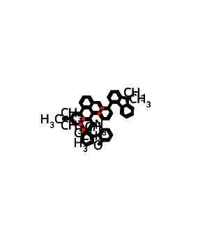 CC(C)(C)c1cc(-c2cccc3cccc(-c4ccccc4N(c4ccc(-c5cccc6c5-c5ccccc5C6(C)C)cc4)c4cccc5oc6ccccc6c45)c23)cc(C(C)(C)C)c1